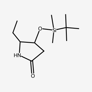 CCC1NC(=O)CC1O[Si](C)(C)C(C)(C)C